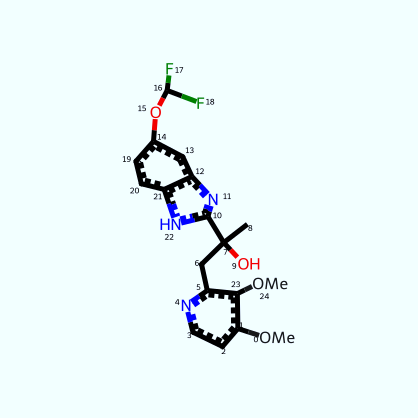 COc1ccnc(CC(C)(O)c2nc3cc(OC(F)F)ccc3[nH]2)c1OC